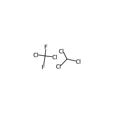 ClC(Cl)Cl.FC(F)(Cl)Cl